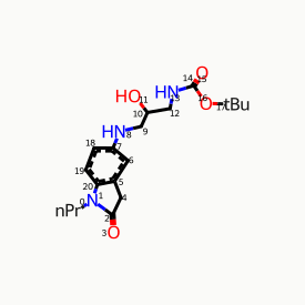 CCCN1C(=O)Cc2cc(NCC(O)CNC(=O)OC(C)(C)C)ccc21